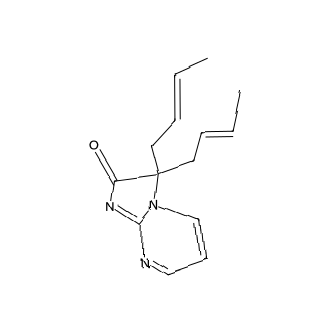 C/C=C/CC1(C/C=C/C)C(=O)N=C2N=CC=CN21